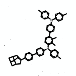 Cc1ccc(N(c2ccc(C)cc2)c2ccc(-c3ccc(N(c4ccc(C)cc4)c4ccc(-c5ccc(C67CC8CC9CC(C6)C98C7)cc5)cc4)c(C)c3C)cc2)cc1